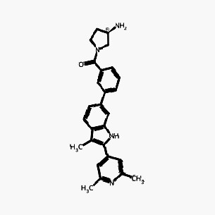 Cc1cc(-c2[nH]c3cc(-c4cccc(C(=O)N5CC[C@@H](N)C5)c4)ccc3c2C)cc(C)n1